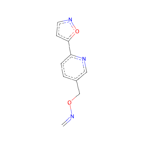 C=NOCc1ccc(-c2ccno2)nc1